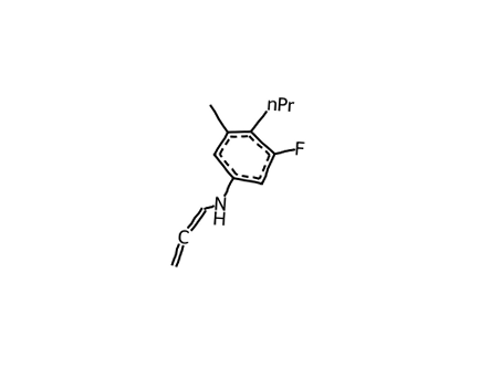 C=C=CNc1cc(C)c(CCC)c(F)c1